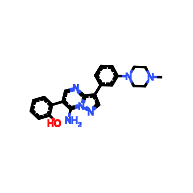 CN1CCN(c2cccc(-c3cnn4c(N)c(-c5ccccc5O)cnc34)c2)CC1